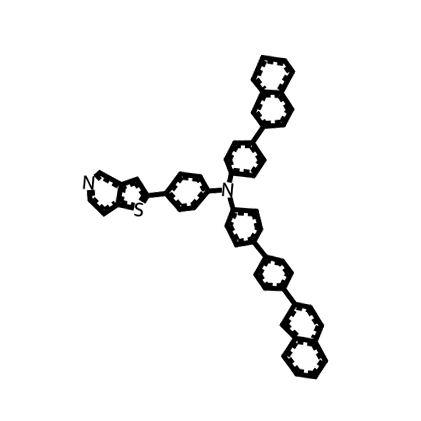 c1ccc2cc(-c3ccc(-c4ccc(N(c5ccc(-c6ccc7ccccc7c6)cc5)c5ccc(-c6cc7cnccc7s6)cc5)cc4)cc3)ccc2c1